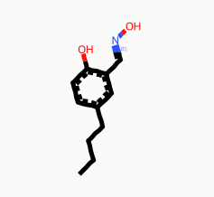 CCCCc1ccc(O)c(/C=N/O)c1